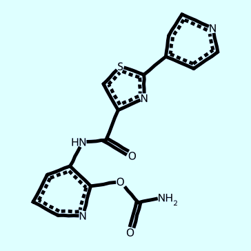 NC(=O)Oc1ncccc1NC(=O)c1csc(-c2ccncc2)n1